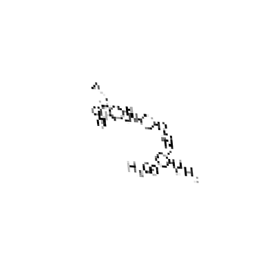 COc1ccc(CN2CC(OC3CCC(n4cc5cc([N+](=O)[O-])c(OCC6CC6)cc5n4)CC3)C2)c(OC)c1